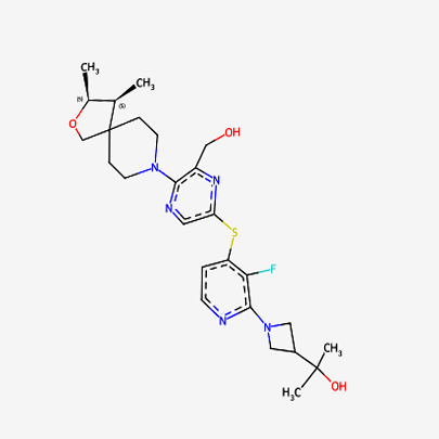 C[C@@H]1OCC2(CCN(c3ncc(Sc4ccnc(N5CC(C(C)(C)O)C5)c4F)nc3CO)CC2)[C@@H]1C